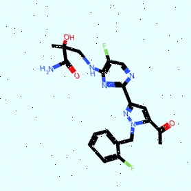 CC(=O)c1cc(-c2ncc(F)c(NCC(C)(O)C(N)=O)n2)nn1Cc1ccccc1F